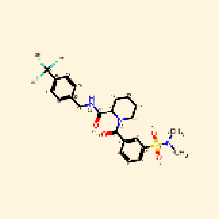 CN(C)S(=O)(=O)c1cccc(C(=O)N2CCCC[C@@H]2C(=O)NCc2ccc(C(F)(F)F)cc2)c1